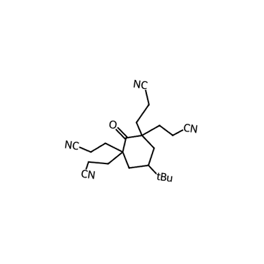 CC(C)(C)C1CC(CCC#N)(CCC#N)C(=O)C(CCC#N)(CCC#N)C1